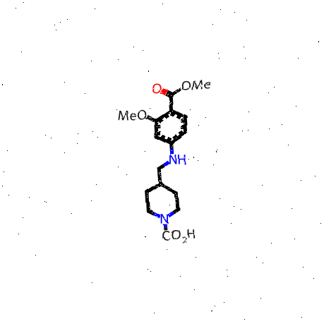 COC(=O)c1ccc(NCC2CCN(C(=O)O)CC2)cc1OC